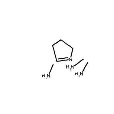 C1=NCCC1.CN.CN.CN